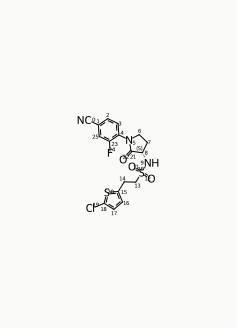 N#Cc1ccc(N2CC[C@H](NS(=O)(=O)CCc3ccc(Cl)s3)C2=O)c(F)c1